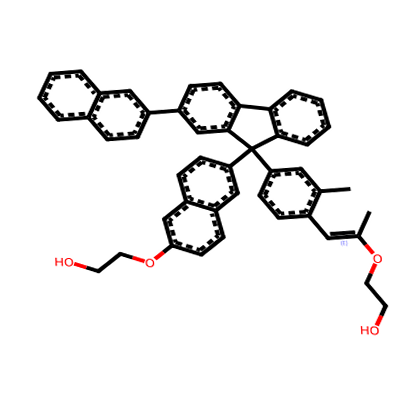 C/C(=C\c1ccc(C2(c3ccc4cc(OCCO)ccc4c3)c3ccccc3-c3ccc(-c4ccc5ccccc5c4)cc32)cc1C)OCCO